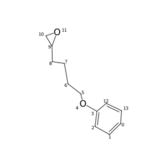 c1ccc(OCCCCC2CO2)cc1